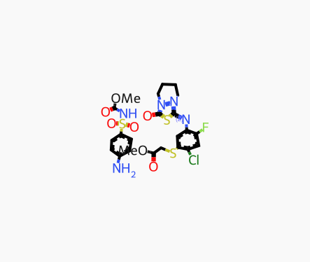 COC(=O)CSc1cc(/N=c2\sc(=O)n3n2CCCC3)c(F)cc1Cl.COC(=O)NS(=O)(=O)c1ccc(N)cc1